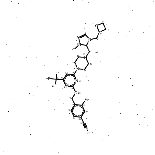 C[C@@H](C1N(C)C=CN1C[C@@H]1CCO1)N1CCN(c2cc(C(F)(F)F)cc(OCc3ccc(C#N)cc3F)n2)CC1